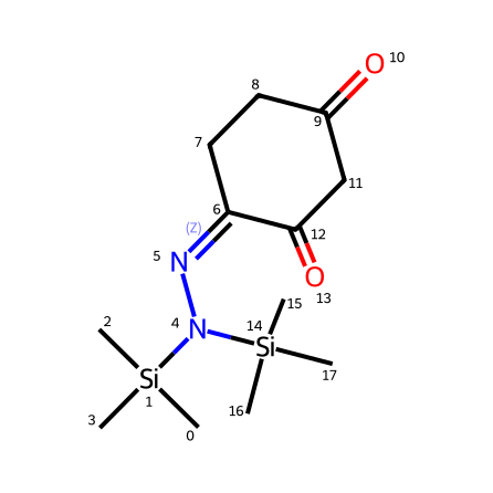 C[Si](C)(C)N(/N=C1/CCC(=O)CC1=O)[Si](C)(C)C